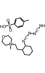 C[N+]1(CCC2CCCCC2N=C=NN=C=N)CCOCC1.Cc1ccc(S(=O)(=O)O)cc1